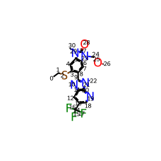 CCSc1cc2c(cc1-c1nc3cc(C(F)(F)F)cnc3n1C)n(COC)c(=O)n2C